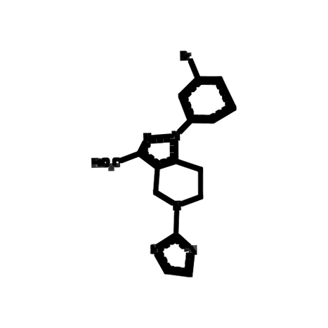 CCOC(=O)c1nn(-c2cccc(Br)c2)c2c1CN(c1nccs1)CC2